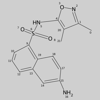 Cc1noc(NS(=O)(=O)c2cccc3cc(N)ccc23)c1C